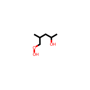 CC(O)CC(C)COO